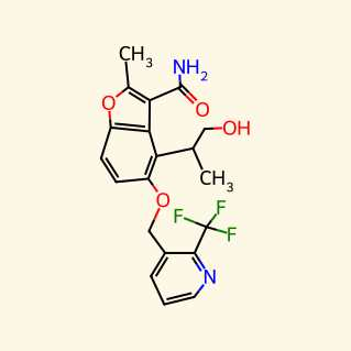 Cc1oc2ccc(OCc3cccnc3C(F)(F)F)c(C(C)CO)c2c1C(N)=O